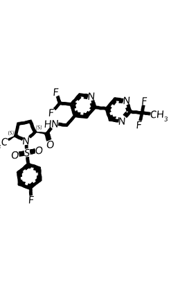 C[C@H]1CC[C@@H](C(=O)NCc2cc(-c3cnc(C(C)(F)F)nc3)ncc2C(F)F)N1S(=O)(=O)c1ccc(F)cc1